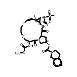 CC(C)(C)OC(=O)N[C@H]1CCCCC/C=C\[C@@H]2C[C@@]2(C(=O)NS(C)(=O)=O)NC(=O)C2C[C@@H](OC(=O)N3CCc4ccccc4C3)CN2C1=O